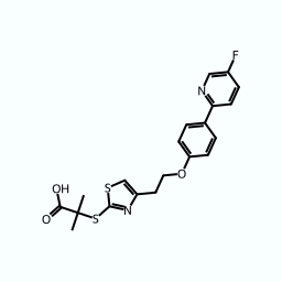 CC(C)(Sc1nc(CCOc2ccc(-c3ccc(F)cn3)cc2)cs1)C(=O)O